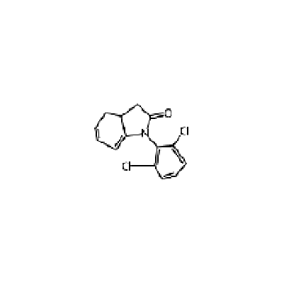 O=C1CC2CC=CC=C2N1c1c(Cl)cccc1Cl